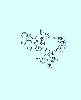 CCCNC[C@]1(O)[C@H](C)O[C@@H](O[C@H]2[C@H](C)[C@@H](O[C@@H]3O[C@H](C)C[C@H](N(C)C(=O)N(C)c4ccccc4)[C@H]3Oc3ccc(F)cc3C)[C@](C)(O)C[C@@H](C)CN[C@H](C)[C@@H](O)[C@](C)(O)[C@@H](CC)OC(=O)[C@@H]2C)C[C@@]1(C)OC